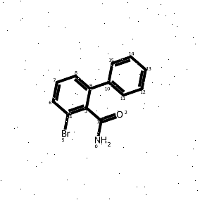 NC(=O)c1c(Br)cccc1-c1ccccc1